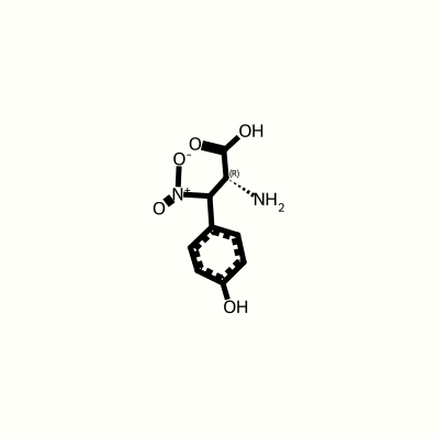 N[C@@H](C(=O)O)C(c1ccc(O)cc1)[N+](=O)[O-]